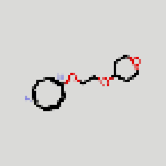 C1=C/C=C\C/C=C(/OCCOC2CCOCC2)C=1